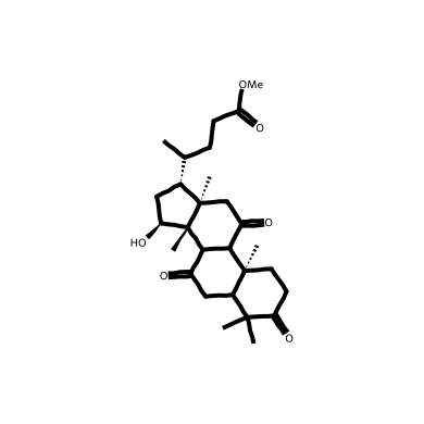 COC(=O)CCC(C)[C@H]1C[C@H](O)[C@@]2(C)C3C(=O)CC4C(C)(C)C(=O)CC[C@]4(C)C3C(=O)C[C@]12C